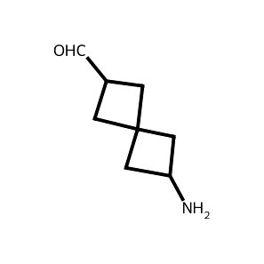 NC1CC2(C1)CC(C=O)C2